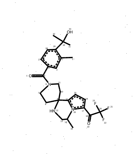 Cc1cc(C(=O)N2CCC3(CC2)NCC(C)n2c(C(=O)C(F)(F)F)ccc23)ccc1C(C)(C)O